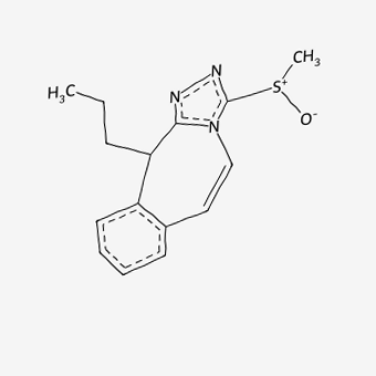 CCCC1c2ccccc2C=Cn2c1nnc2[S+](C)[O-]